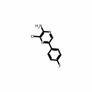 Nc1ncc(-c2ccc(F)cc2)nc1Cl